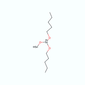 CCCCC[O][SnH]([O][SnH])[O]CCCCC